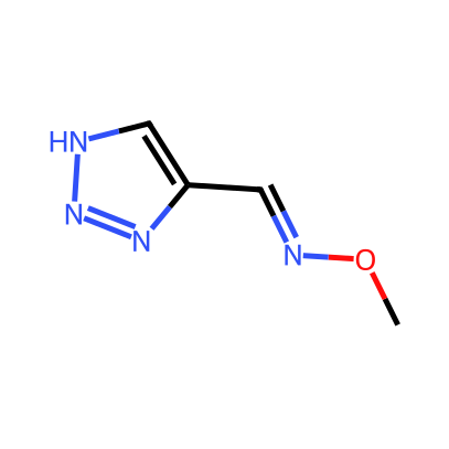 CON=Cc1c[nH]nn1